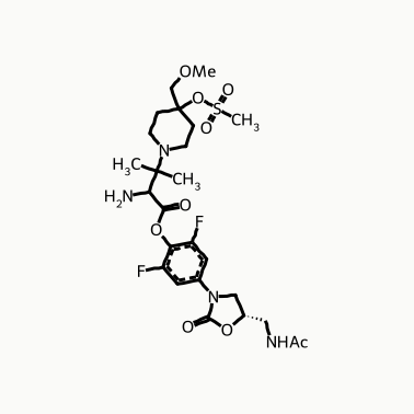 COCC1(OS(C)(=O)=O)CCN(C(C)(C)C(N)C(=O)Oc2c(F)cc(N3C[C@H](CNC(C)=O)OC3=O)cc2F)CC1